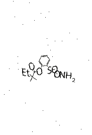 CCC(C)(C)C(=O)Oc1ccccc1SOON